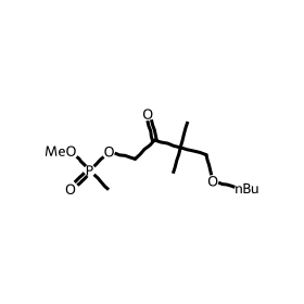 CCCCOCC(C)(C)C(=O)COP(C)(=O)OC